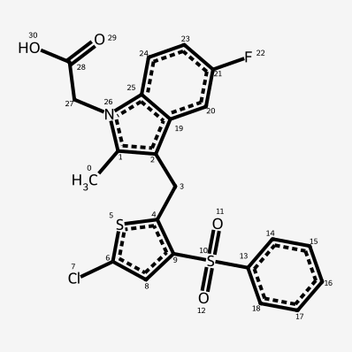 Cc1c(Cc2sc(Cl)cc2S(=O)(=O)c2ccccc2)c2cc(F)ccc2n1CC(=O)O